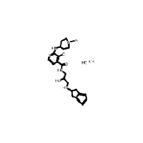 CC(=O)N1CCC(Nc2nccc(C(=O)NCC(O)CNC3Cc4ccccc4C3)c2Cl)CC1.Cl.Cl